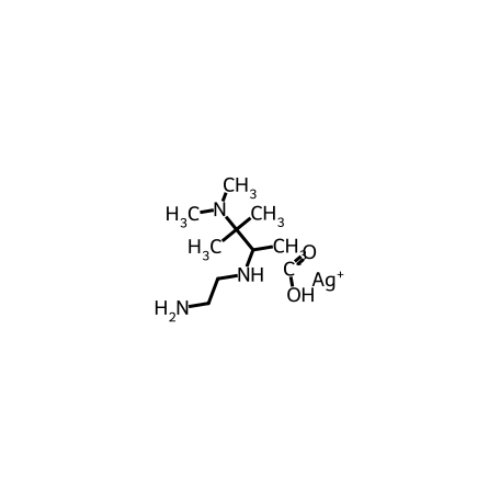 CC(NCCN)C(C)(C)N(C)C.O=[C-]O.[Ag+]